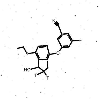 CCSc1ccc(Oc2cc(F)cc(C#N)c2)c2c1C(O)C(F)(F)C2